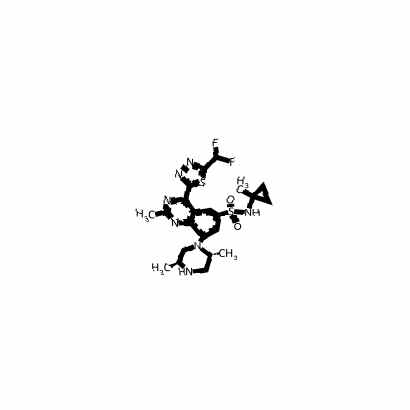 Cc1nc(-c2nnc(C(F)F)s2)c2cc(S(=O)(=O)NC3(C)CC3)cc(N3C[C@H](C)NC[C@H]3C)c2n1